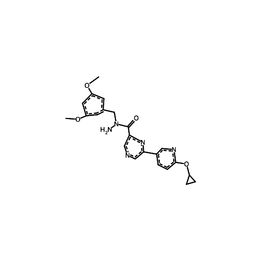 COc1cc(CN(N)C(=O)c2cncc(-c3ccc(OC4CC4)nc3)n2)cc(OC)c1